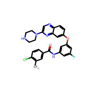 O=C(Nc1cc(F)cc(Oc2ccc3ncc(N4CCNCC4)nc3c2)c1)c1ccc(Cl)c(C(F)(F)F)c1